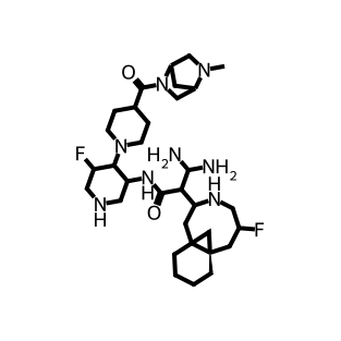 CN1CC2CC1CN2C(=O)C1CCN(C2C(F)CNCC2NC(=O)C(C(N)N)C2CC34CCCC[C@]3(CC(F)CN2)C4)CC1